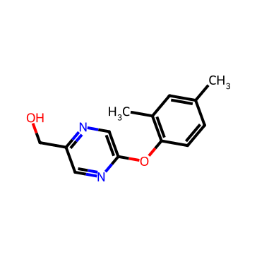 Cc1ccc(Oc2cnc(CO)cn2)c(C)c1